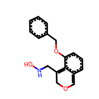 ONCC1=c2c(OCc3ccccc3)cccc2=COC1